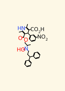 CC1=C(C(=O)O)C(c2cccc([N+](=O)[O-])c2)C(C(=O)OCC(C)N(O)CCC(c2ccccc2)c2ccccc2)=C(C)N1